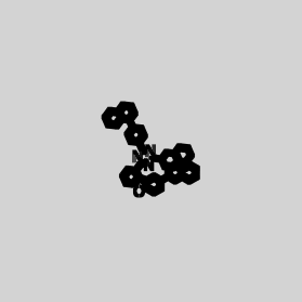 C1=CC2=C(C=CC(c3nc(-c4ccc(-c5cccc6ccccc56)cc4)nc(-c4cccc5oc6ccc(-c7ccc8ccccc8c7)cc6c45)n3)C2)CC1